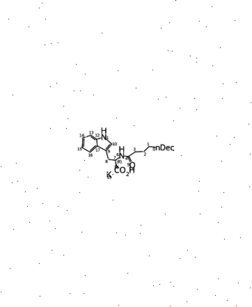 CCCCCCCCCCCCCC(=O)N[C@H](Cc1c[nH]c2ccccc12)C(=O)O.[K]